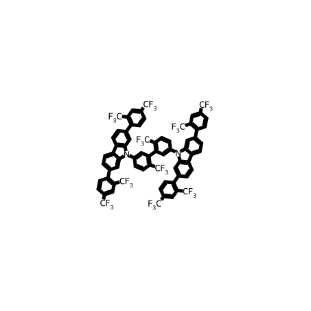 FC(F)(F)c1ccc(-c2ccc3c4ccc(-c5ccc(C(F)(F)F)cc5C(F)(F)F)cc4n(-c4ccc(C(F)(F)F)c(-c5cc(-n6c7cc(-c8ccc(C(F)(F)F)cc8C(F)(F)F)ccc7c7ccc(-c8ccc(C(F)(F)F)cc8C(F)(F)F)cc76)ccc5C(F)(F)F)c4)c3c2)c(C(F)(F)F)c1